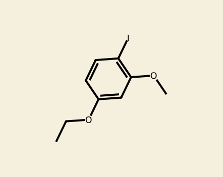 CCOc1ccc(I)c(OC)c1